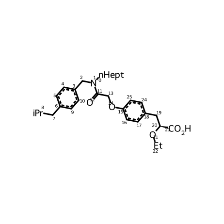 CCCCCCCN(Cc1ccc(CC(C)C)cc1)C(=O)COc1ccc(C[C@H](OCC)C(=O)O)cc1